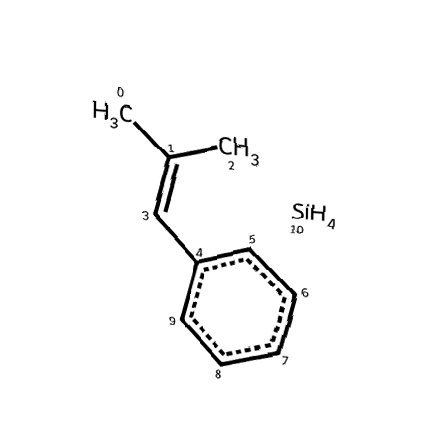 CC(C)=Cc1ccccc1.[SiH4]